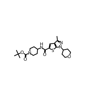 Cc1nn(C2CCOCC2)c2sc(C(=O)NC3CCN(C(=O)OC(C)(C)C)CC3)cc12